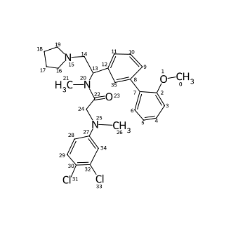 COc1ccccc1-c1cccc(C(CN2CCCC2)N(C)C(=O)CN(C)c2ccc(Cl)c(Cl)c2)c1